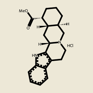 COC(=O)[C@@H]1CCC[C@H]2CN3CCc4c([nH]c5ccccc45)[C@@H]3C[C@@H]21.Cl